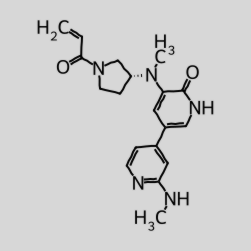 C=CC(=O)N1CC[C@@H](N(C)c2cc(-c3ccnc(NC)c3)c[nH]c2=O)C1